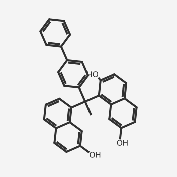 CC(c1ccc(-c2ccccc2)cc1)(c1cccc2ccc(O)cc12)c1c(O)ccc2ccc(O)cc12